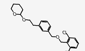 Clc1cccc(Cl)c1COCc1cccc(CCOC2CCCCO2)c1